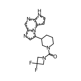 O=C(N1CCCC(c2cnc3cnc4[nH]ccc4n23)C1)N1CC(F)(F)C1